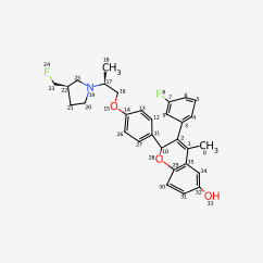 CC1=C(c2cccc(F)c2)C(c2ccc(OC[C@H](C)N3CC[C@@H](CF)C3)cc2)Oc2ccc(O)cc21